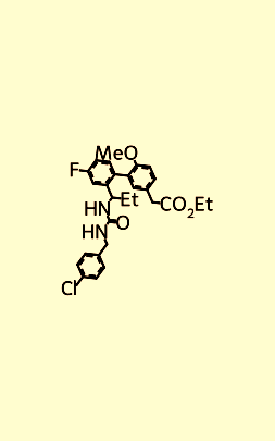 CCOC(=O)Cc1ccc(OC)c(-c2ccc(F)cc2C(CC)NC(=O)NCc2ccc(Cl)cc2)c1